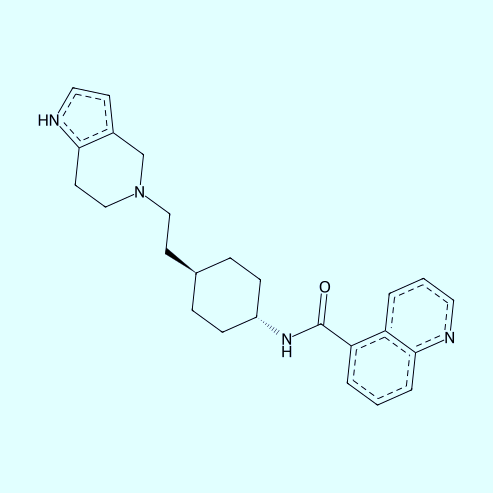 O=C(N[C@H]1CC[C@H](CCN2CCc3[nH]ccc3C2)CC1)c1cccc2ncccc12